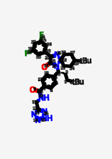 CC(C)(C)CC[C@H](c1ccc(C(=O)NCc2nn[nH]n2)cc1)N1C(=O)C(c2cc(F)cc(F)c2)=NC12CCC(C(C)(C)C)CC2